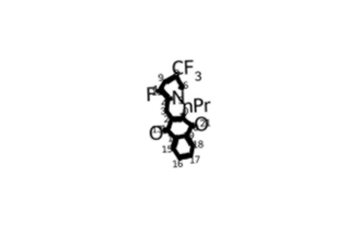 CCCC1=C(Cc2ncc(C(F)(F)F)cc2F)C(=O)c2ccccc2C1=O